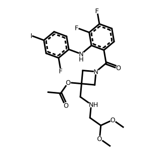 COC(CNCC1(OC(C)=O)CN(C(=O)c2ccc(F)c(F)c2Nc2ccc(I)cc2F)C1)OC